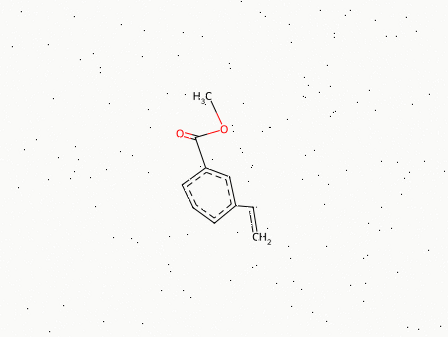 C=[C]c1cccc(C(=O)OC)c1